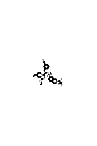 CCOC(=O)[C@H]1CC(CC)=CCN1C(=O)[C@H](Cc1cccc(C#N)c1)NS(=O)(=O)c1ccc2c(c1)CN(C(=O)C(F)(F)F)CC2